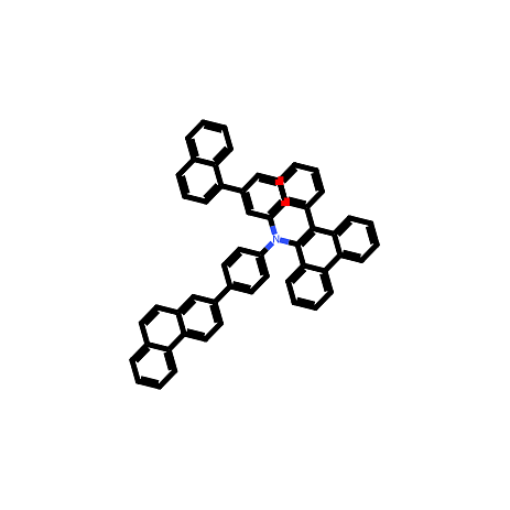 c1ccc(-c2c(N(c3ccc(-c4ccc5c(ccc6ccccc65)c4)cc3)c3cccc(-c4cccc5ccccc45)c3)c3ccccc3c3ccccc23)cc1